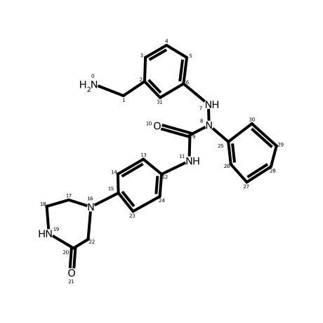 NCc1cccc(NN(C(=O)Nc2ccc(N3CCNC(=O)C3)cc2)c2ccccc2)c1